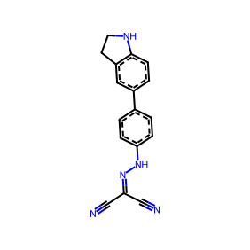 N#CC(C#N)=NNc1ccc(-c2ccc3c(c2)CCN3)cc1